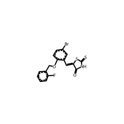 O=C1NC(=S)S/C1=C\c1cc(Br)ccc1OCc1ccccc1F